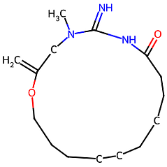 C=C1CN(C)C(=N)NC(=O)CCCCCCCCCO1